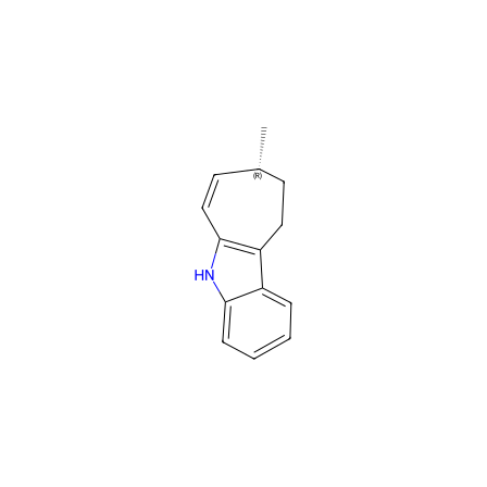 C[C@H]1C=Cc2[nH]c3ccccc3c2CC1